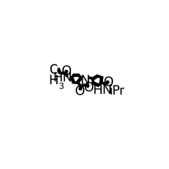 CC=CC(=O)Nc1ccc2c(c1)C(=O)C(=O)N2Cc1ccc(C(=O)NC(C)C)cc1